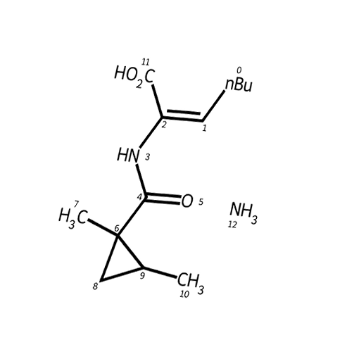 CCCCC=C(NC(=O)C1(C)CC1C)C(=O)O.N